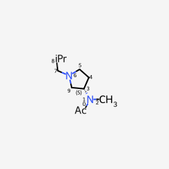 CC(=O)N(C)[C@H]1CCN(CC(C)C)C1